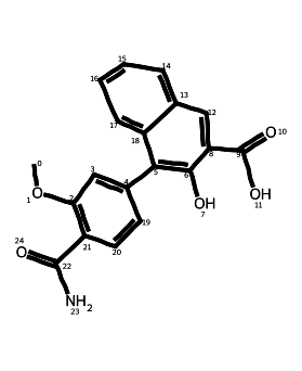 COc1cc(-c2c(O)c(C(=O)O)cc3ccccc23)ccc1C(N)=O